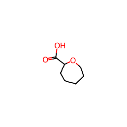 O=C(O)C1CCCCCO1